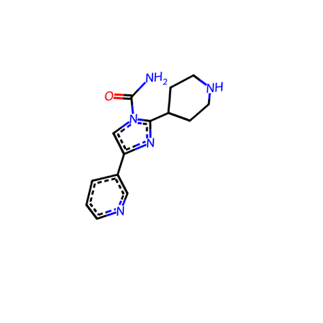 NC(=O)n1cc(-c2cccnc2)nc1C1CCNCC1